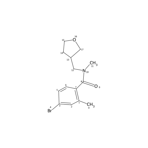 Cc1cc(Br)ccc1C(=O)N(C)CC1CCOC1